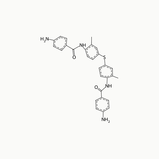 Cc1cc(Sc2ccc(NC(=O)c3ccc(N)cc3)c(C)c2)ccc1NC(=O)c1ccc(N)cc1